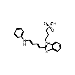 O=S(=O)(O)CCC[n+]1c(/C=C/C=C/Nc2ccccc2)sc2ccccc21